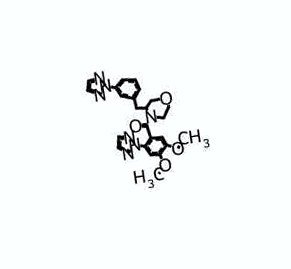 COc1cc(C(=O)N2CCOCC2Cc2cccc(-n3nccn3)c2)c(-n2nccn2)cc1OC